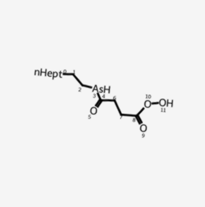 CCCCCCCCC[AsH]C(=O)CCC(=O)OO